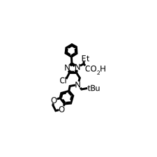 CCC(C(=O)O)n1c(-c2ccccc2)nc(Cl)c1CN(Cc1ccc2c(c1)OCCO2)CC(C)(C)C